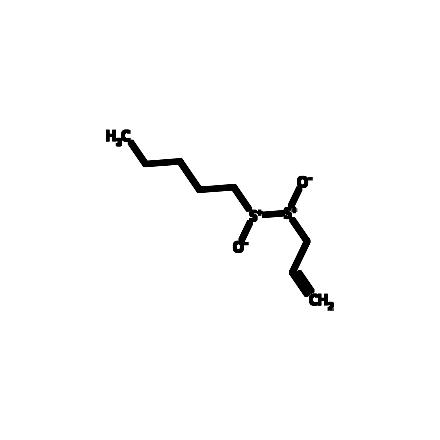 C=CC[S+]([O-])[S+]([O-])CCCCC